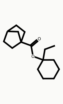 CCC1(OC(=O)C23CCC(CC2)C3)CCCCC1